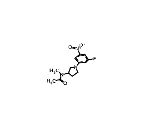 CC(=O)N(C)C1CCN(c2cc(F)cc([N+](=O)[O-])c2)C1